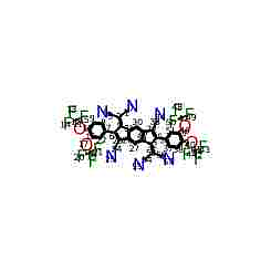 N#CC(C#N)=C1C(c2ccc(OC(F)(F)F)c(OC(F)(F)F)c2)=C(C#N)c2cc3c(cc21)C(C#N)=C(c1ccc(OC(F)(F)F)c(OC(F)(F)F)c1)C3=C(C#N)C#N